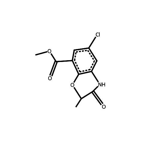 COC(=O)c1cc(Cl)cc2c1OC(C)C(=O)N2